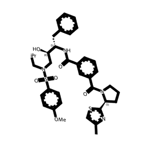 COc1ccc(S(=O)(=O)N(CC(C)C)C[C@@H](O)[C@H](Cc2ccccc2)NC(=O)c2cccc(C(=O)N3CCC[C@H]3c3nc(C)cs3)c2)cc1